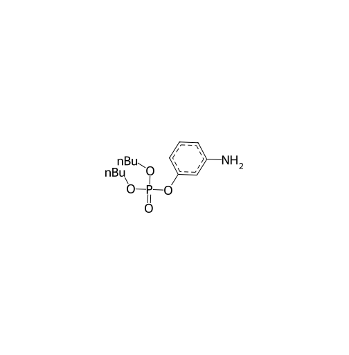 CCCCOP(=O)(OCCCC)Oc1cccc(N)c1